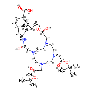 CC(C)(C)OC(=O)CN1CCN2CCN(CCN(CC(=O)OC(C)(C)C)CC1)CC(=O)OC(C)(C)C1c3cc(C(=O)O)ccc3CC1NC(=O)C2